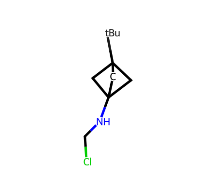 CC(C)(C)C12CC(NCCl)(C1)C2